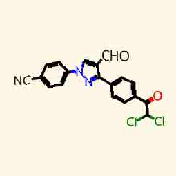 N#Cc1ccc(-n2cc(C=O)c(-c3ccc(C(=O)C(Cl)Cl)cc3)n2)cc1